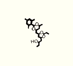 CCC(O)CC1CC(CC2CC(C)OC(c3c(C)cc(C)cc3C)O2)OC(CC)O1